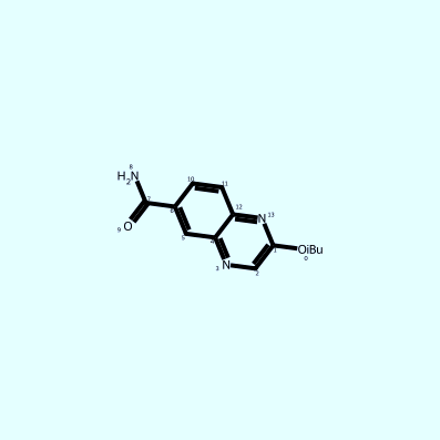 CC(C)COc1cnc2cc(C(N)=O)ccc2n1